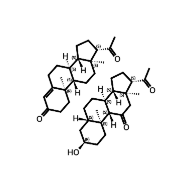 CC(=O)[C@H]1CC[C@H]2[C@@H]3CCC4=CC(=O)CC[C@]4(C)[C@H]3CC[C@]12C.CC(=O)[C@H]1CC[C@H]2[C@@H]3CC[C@H]4C[C@H](O)CC[C@]4(C)[C@H]3C(=O)C[C@]12C